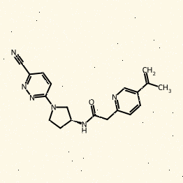 C=C(C)c1ccc(CC(=O)N[C@H]2CCN(c3ccc(C#N)nn3)C2)nc1